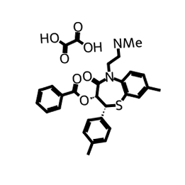 CNCCN1C(=O)[C@@H](OC(=O)c2ccccc2)[C@@H](c2ccc(C)cc2)Sc2cc(C)ccc21.O=C(O)C(=O)O